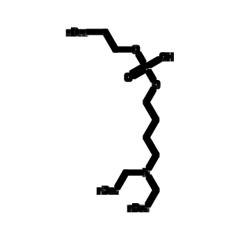 CCCCCCCCCCCCOP(=O)(O)OCCCCN(CCCCCCCCCCC)CCCCCCCCCCC